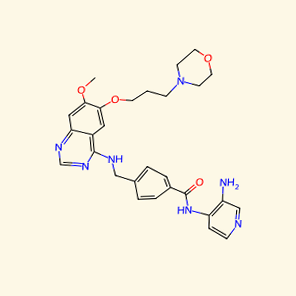 COc1cc2ncnc(NCc3ccc(C(=O)Nc4ccncc4N)cc3)c2cc1OCCCN1CCOCC1